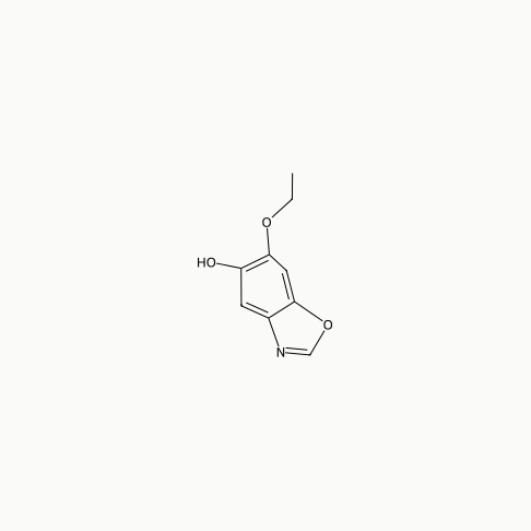 CCOc1cc2ocnc2cc1O